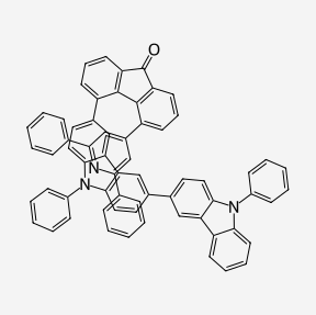 O=C1c2cccc(-c3cc(-c4ccccc4)nc(-c4ccccc4)c3)c2-c2c1cccc2-c1ccc2c(c1)c1cc(-c3ccc4c(c3)c3ccccc3n4-c3ccccc3)ccc1n2-c1ccccc1